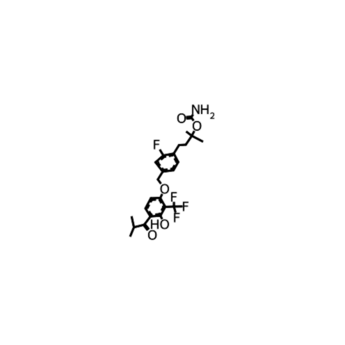 CC(C)C(=O)c1ccc(OCc2ccc(CCC(C)(C)OC(N)=O)c(F)c2)c(C(F)(F)F)c1O